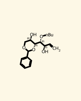 C=C[C@@H](O)[C@@H](OCCCC)[C@@H]1OC(c2ccccc2)OC[C@H]1O